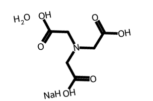 O.O=C(O)CN(CC(=O)O)CC(=O)O.[NaH]